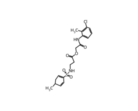 Cc1c(Cl)cccc1NC(=O)COC(=O)CCNS(=O)(=O)C1=CCC(C)C=C1